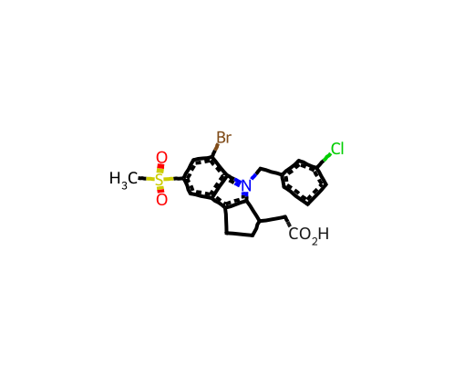 CS(=O)(=O)c1cc(Br)c2c(c1)c1c(n2Cc2cccc(Cl)c2)C(CC(=O)O)CC1